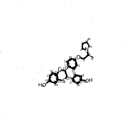 C[C@@H]1CCN([C@@H](C)COc2ccc([C@@H]3Oc4ccc(O)cc4S[C@@H]3c3ccc(O)cc3)cc2)C1